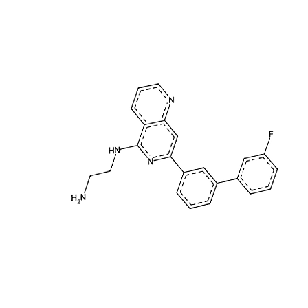 NCCNc1nc(-c2cccc(-c3cccc(F)c3)c2)cc2ncccc12